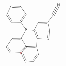 N#Cc1ccc(-c2ccccc2)c(P(c2ccccc2)c2ccccc2)c1